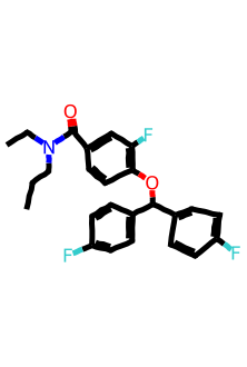 CCCN(CC)C(=O)c1ccc(OC(c2ccc(F)cc2)c2ccc(F)cc2)c(F)c1